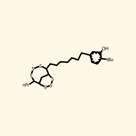 CCCC1SSSC(CCCCCCCc2ccc(C(C)(C)C)c(O)c2)C2CC1SSS2